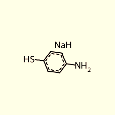 Nc1ccc(S)cc1.[NaH]